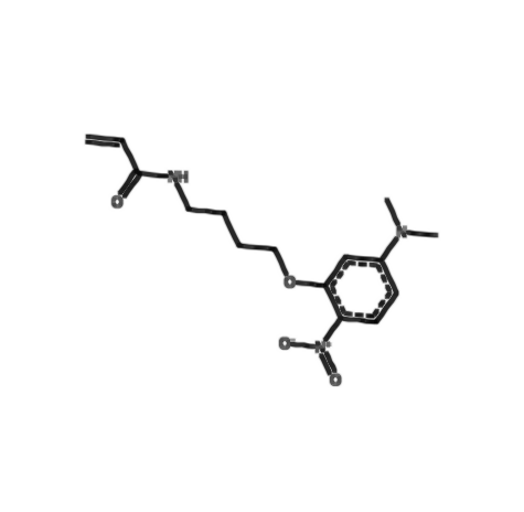 C=CC(=O)NCCCCOc1cc(N(C)C)ccc1[N+](=O)[O-]